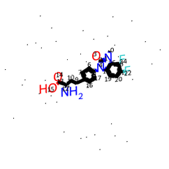 Cn1c(=O)n(-c2ccc(CC[C@H](N)C(=O)O)cc2)c2ccc(F)c(F)c21